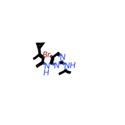 C=C(/C=C(\C)C1CC1)Nc1nc(NC(C)C)ncc1Br